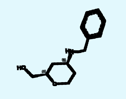 OC[C@H]1C[C@@H](NCc2ccccc2)CCO1